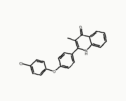 Cc1c(-c2ccc(Oc3ccc(Cl)cc3)cc2)[nH]c2ccccc2c1=O